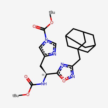 CC(C)(C)OC(=O)N[C@@H](Cc1cn(C(=O)OC(C)(C)C)cn1)c1nc(CC23CC4CC(CC(C4)C2)C3)no1